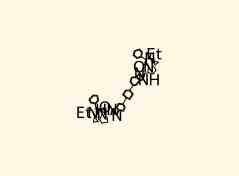 CCN(C1CC1)[C@@H](C(=O)N1CCC[C@H]1c1nc2ccc(-c3ccc(-c4ccc5nc([C@@H]6CCCN6C(=O)[C@@H](c6ccccc6)N(CC)C6CC6)[nH]c5c4)cc3)cc2[nH]1)c1ccccc1